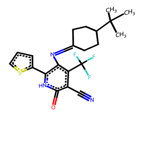 CC(C)(C)C1CCC(=Nc2c(-c3cccs3)[nH]c(=O)c(C#N)c2C(F)(F)F)CC1